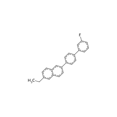 CCc1ccc2cc(-c3ccc(-c4cccc(F)c4)cc3)ccc2c1